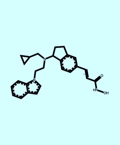 O=C(/C=C/c1ccc2c(c1)CCC2N(CCn1ccc2ccccc21)CC1CC1)NO